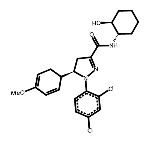 COC1=CCC([C@H]2CC(C(=O)N[C@H]3CCCC[C@@H]3O)=NN2c2ccc(Cl)cc2Cl)C=C1